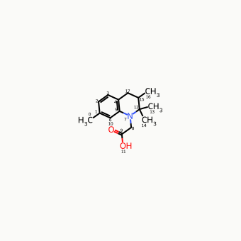 Cc1ccc2c(c1)N(CC(=O)O)C(C)(C)C(C)C2